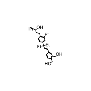 CCc1cc(C(C=Cc2ccc(CO)c(CO)c2)(CC)CC)ccc1CCC(O)C(C)C